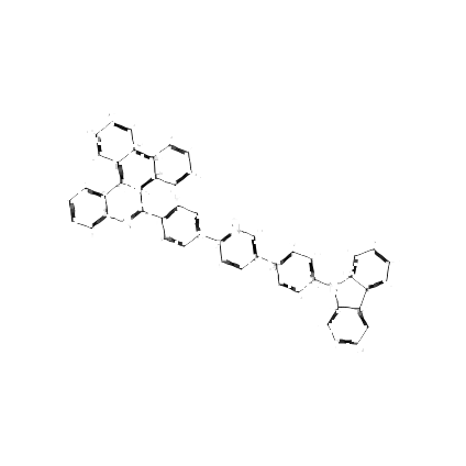 c1ccc2c(c1)nc(-c1ccc(-c3ccc(-c4ccc(-n5c6ccccc6c6ccccc65)cc4)cn3)cc1)c1c3ccccc3c3ccccc3c21